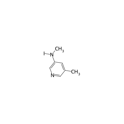 Cc1cncc(N(C)I)c1